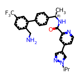 CC(C)n1cc(-c2ccnc(C(=O)N[C@H](C)c3ccc(-c4cc(C(F)(F)F)ccc4CN)cc3)c2)cn1